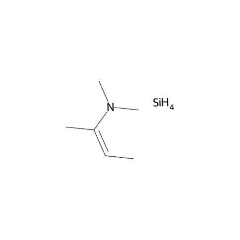 CC=C(C)N(C)C.[SiH4]